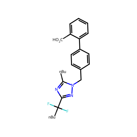 CCCCc1nc(C(F)(F)CCCC)nn1Cc1ccc(-c2ccccc2C(=O)O)cc1